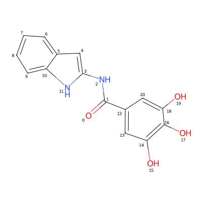 O=C(Nc1cc2ccccc2[nH]1)c1cc(O)c(O)c(O)c1